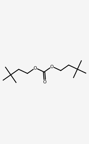 CC(C)(C)CCOC(=O)OCCC(C)(C)C